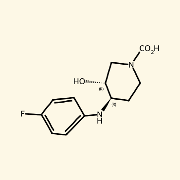 O=C(O)N1CC[C@@H](Nc2ccc(F)cc2)[C@H](O)C1